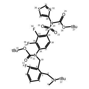 CN(Cc1cccc(F)c1CN(C(=O)OC(C)(C)C)c1ccc(S(=O)(=O)N(C(=O)OC(C)(C)C)c2cscn2)c(F)c1F)C(C)(C)C